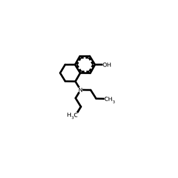 CCCN(CCC)C1CCCc2ccc(O)cc21